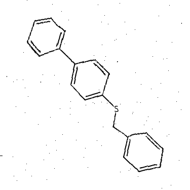 c1ccc(CSc2ccc(-c3ccccc3)cc2)cc1